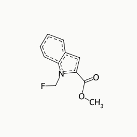 COC(=O)c1cc2ccccc2n1CF